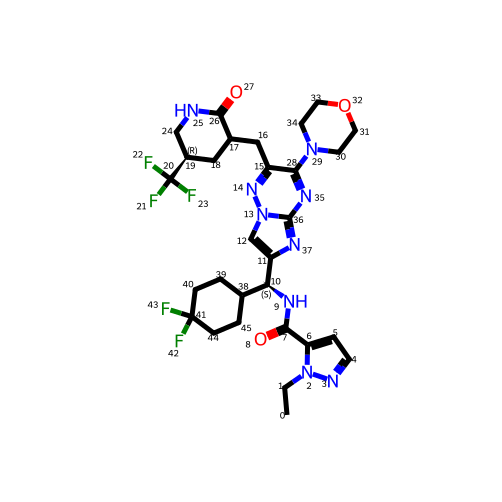 CCn1nccc1C(=O)N[C@H](c1cn2nc(CC3C[C@@H](C(F)(F)F)CNC3=O)c(N3CCOCC3)nc2n1)C1CCC(F)(F)CC1